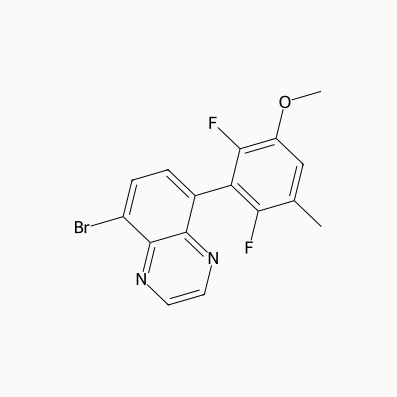 COc1cc(C)c(F)c(-c2ccc(Br)c3nccnc23)c1F